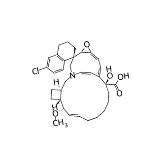 CO[C@H]1/C=C/CCCCC[C@@](O)(C(=O)O)C2=CC=C3OC3[C@]3(CCCc4cc(Cl)ccc43)CN(C=C2)C[C@@H]2CC[C@H]21